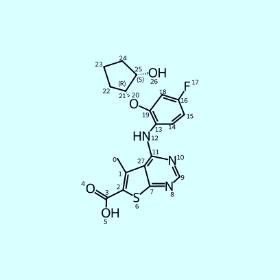 Cc1c(C(=O)O)sc2ncnc(Nc3ccc(F)cc3O[C@@H]3CCC[C@@H]3O)c12